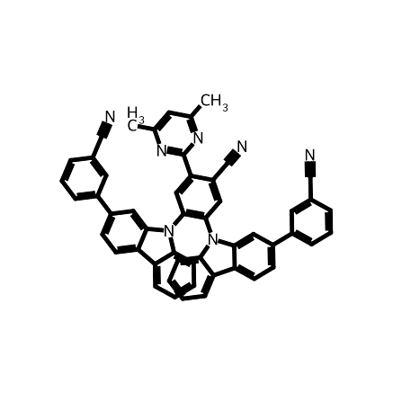 Cc1cc(C)nc(-c2cc(-n3c4ccccc4c4ccc(-c5cccc(C#N)c5)cc43)c(-n3c4ccccc4c4ccc(-c5cccc(C#N)c5)cc43)cc2C#N)n1